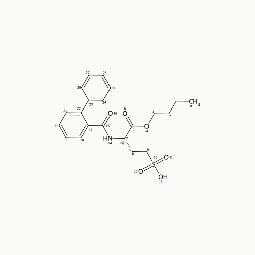 CCCCOC(=O)[C@H](CCS(=O)(=O)O)NC(=O)c1ccccc1-c1ccccc1